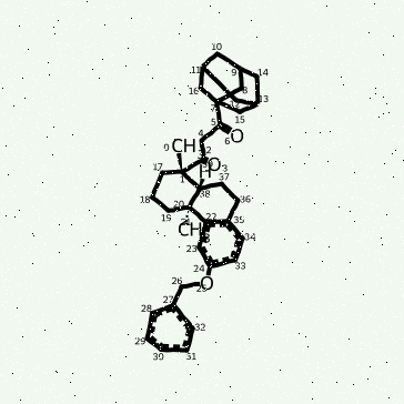 C[C@]1(C(=O)CC(=O)C23CC4CC(CC(C4)C2)C3)CCC[C@]2(C)c3cc(OCc4ccccc4)ccc3CC[C@@H]12